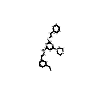 CCc1cccc(C=NNc2cc(N3CCOCC3)nc(OCCc3ccccn3)n2)c1